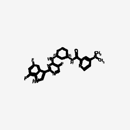 CN(C)c1ccnc(C(=O)N[C@@H]2CCC[C@H](Nc3nc(-c4c[nH]c5c(F)cc(F)cc45)ncc3F)C2)c1